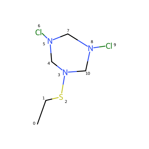 CCSN1CN(Cl)CN(Cl)C1